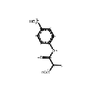 CCCCCCCCC(C)C(=O)Oc1ccc(C(=O)O)cc1